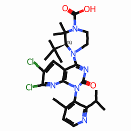 Cc1ccnc(C(C)C)c1-n1c(=O)nc(N2CCN(C(=O)O)C(C)(C)[C@@H]2C(C)(C)C)c2cc(Cl)c(Cl)nc21